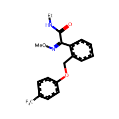 CCNC(=O)C(=NOC)c1ccccc1COc1ccc(C(F)(F)F)cc1